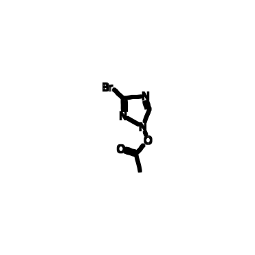 CC(=O)On1cnc(Br)n1